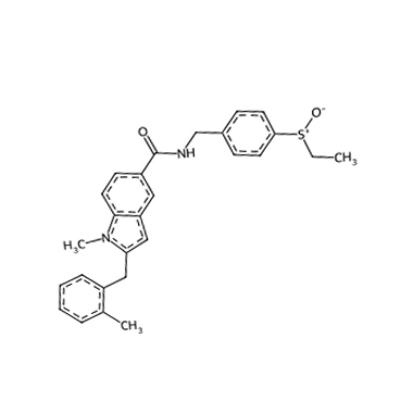 CC[S+]([O-])c1ccc(CNC(=O)c2ccc3c(c2)cc(Cc2ccccc2C)n3C)cc1